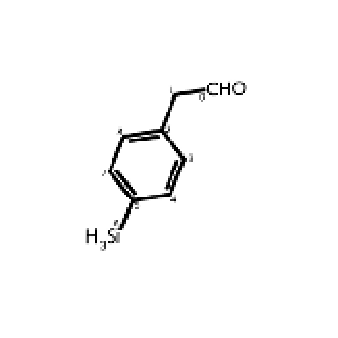 O=CCc1ccc([SiH3])cc1